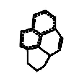 [C]1Cc2ccc3cccc4c3c2C(C=C4)C1